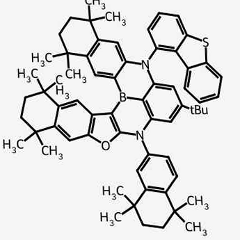 CC(C)(C)c1cc2c3c(c1)N(c1cccc4sc5ccccc5c14)c1cc4c(cc1B3c1c(oc3cc5c(cc13)C(C)(C)CCC5(C)C)N2c1ccc2c(c1)C(C)(C)CCC2(C)C)C(C)(C)CCC4(C)C